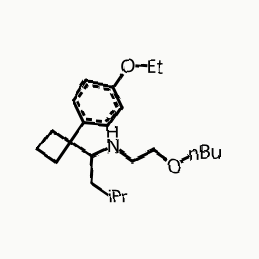 CCCCOCCNC(CC(C)C)C1(c2ccc(OCC)cc2)CCC1